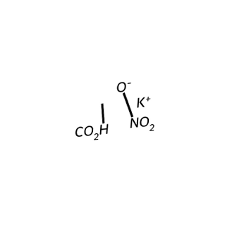 CC(=O)O.O=[N+]([O-])[O-].[K+]